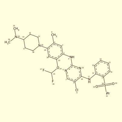 Cc1cc(Nc2ncc(Cl)c(Nc3ccccc3S(=O)(=O)C(C)C)n2)c(OC(F)F)cc1N1CCC(N(C)C)CC1